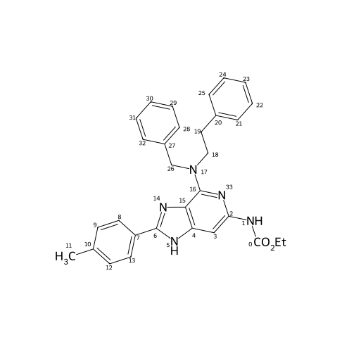 CCOC(=O)Nc1cc2[nH]c(-c3ccc(C)cc3)nc2c(N(CCc2ccccc2)Cc2ccccc2)n1